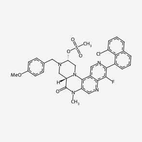 COc1ccc(CN2C[C@H]3C(=O)N(C)c4cnc5c(F)c(-c6cccc7cccc(Cl)c67)ncc5c4N3C[C@H]2OS(C)(=O)=O)cc1